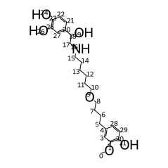 COc1cc(CCCCOCCCCCCNCC(O)c2ccc(O)c(O)c2)ccc1O